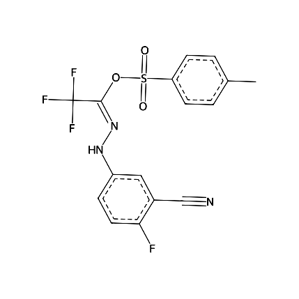 Cc1ccc(S(=O)(=O)OC(=NNc2ccc(F)c(C#N)c2)C(F)(F)F)cc1